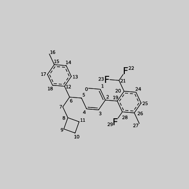 C/C=C(\C=C/CC(CC1CCC1)c1ccc(C)cc1)c1c(C(F)F)ccc(C)c1F